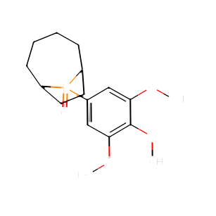 COc1cc(P2(=O)C3CCCCC2CC3)cc(OC)c1OC